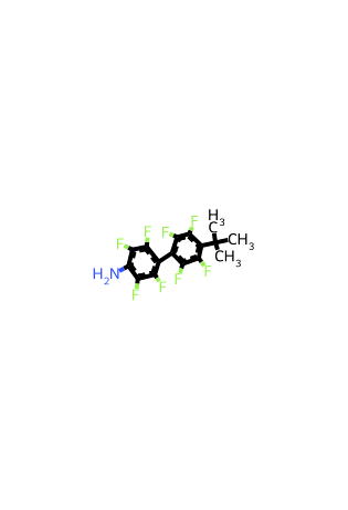 CC(C)(C)c1c(F)c(F)c(-c2c(F)c(F)c(N)c(F)c2F)c(F)c1F